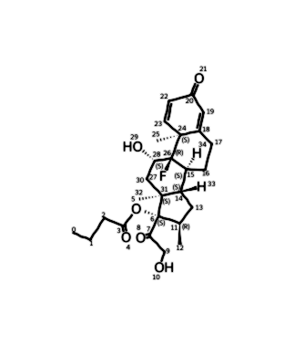 CCCC(=O)O[C@@]1(C(=O)CO)[C@H](C)C[C@H]2[C@@H]3CCC4=CC(=O)C=C[C@]4(C)[C@@]3(F)[C@@H](O)C[C@@]21C